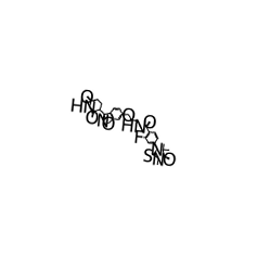 CN1C(=O)C(C)(C)N(c2ccc(C(=O)NCCOc3ccc4c(C5CCC(=O)NC5=O)noc4c3)c(F)c2)C1=S